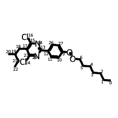 CCCCCCCOOc1ccc(-c2nc(Cl)c(CC(C)CC)c(Cl)n2)cc1